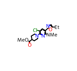 CCc1cnc(-c2cc(Cl)c(N3CCC(C(=O)OC)CC3)nc2NC)o1